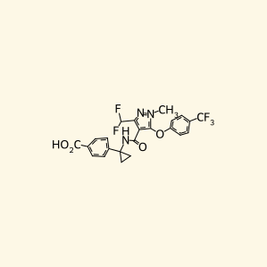 Cn1nc(C(F)F)c(C(=O)NC2(c3ccc(C(=O)O)cc3)CC2)c1Oc1ccc(C(F)(F)F)cc1